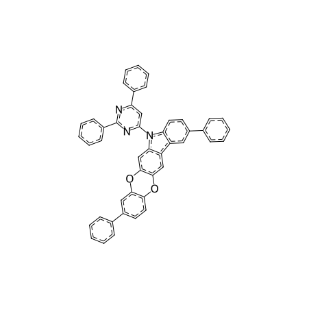 c1ccc(-c2ccc3c(c2)Oc2cc4c(cc2O3)c2cc(-c3ccccc3)ccc2n4-c2cc(-c3ccccc3)nc(-c3ccccc3)n2)cc1